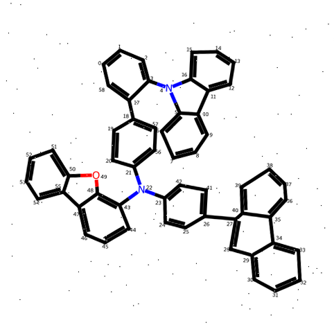 c1ccc(-n2c3ccccc3c3ccccc32)c(-c2ccc(N(c3ccc(-c4cc5ccccc5c5ccccc45)cc3)c3cccc4c3oc3ccccc34)cc2)c1